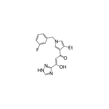 CCc1cn(Cc2cccc(F)c2)cc1C(=O)C=C(O)c1nc[nH]n1